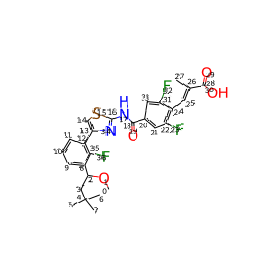 COC(CC(C)(C)C)c1cccc(-c2csc(NC(=O)c3cc(F)c(/C=C(\C)C(=O)O)c(F)c3)n2)c1F